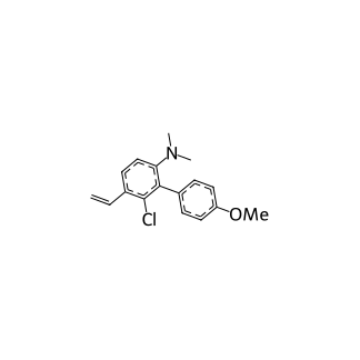 C=Cc1ccc(N(C)C)c(-c2ccc(OC)cc2)c1Cl